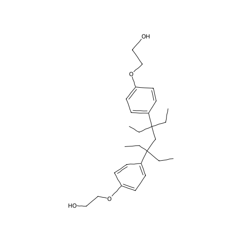 CCC(CC)(CC(CC)(CC)c1ccc(OCCO)cc1)c1ccc(OCCO)cc1